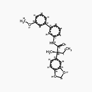 CC[C@@](C)(C(=O)Nc1cccc(-c2cccc(OC)c2)n1)c1ccc2c(c1)OCO2